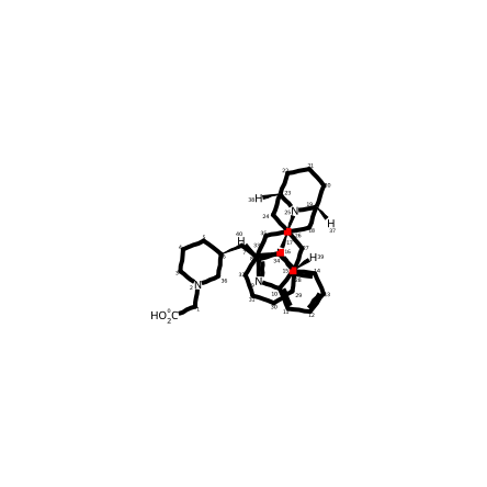 O=C(O)CN1CCC[C@@H](Cc2nc3ccccc3n2[C@@H]2C[C@H]3CCC[C@@H](C2)N3[C@H]2C[C@@H]3CCCC[C@@H](C3)C2)C1